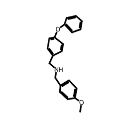 COc1ccc(CNCc2ccc(Oc3ccccc3)cc2)cc1